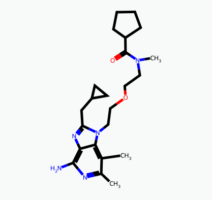 Cc1nc(N)c2nc(CC3CC3)n(CCOCCN(C)C(=O)C3CCCC3)c2c1C